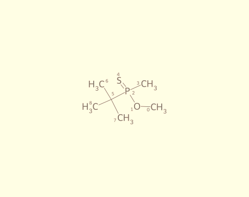 COP(C)(=S)C(C)(C)C